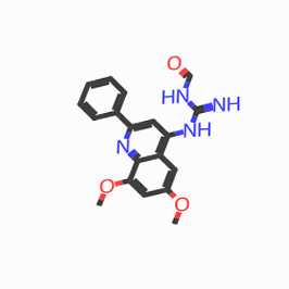 COc1cc(OC)c2nc(-c3ccccc3)cc(NC(=N)NC=O)c2c1